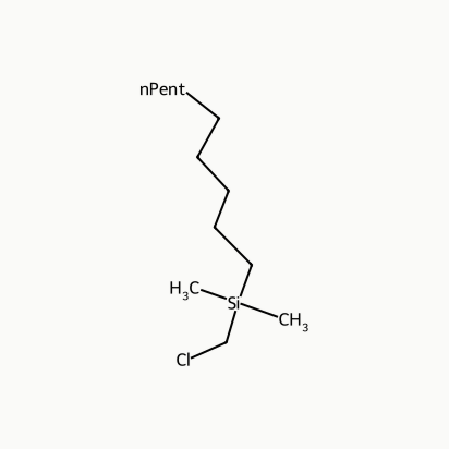 CCCCCCCCCC[Si](C)(C)CCl